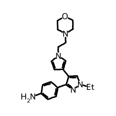 CCn1cc(-c2ccn(CCN3CCOCC3)c2)c(-c2ccc(N)cc2)n1